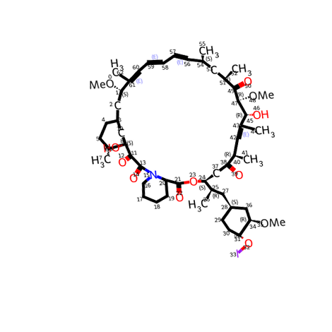 CO[C@H]1CC2CC[C@@H](C)[C@@](O)(C2)C(=O)C(=O)N2CCCCC2C(=O)O[C@H]([C@H](C)C[C@@H]2CC[C@@H](OI)[C@H](OC)C2)CC(=O)[C@H](C)/C=C(\C)[C@@H](O)[C@@H](OC)C(=O)[C@H](C)C[C@H](C)/C=C/C=C/C=C/1C